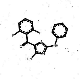 Nc1nc(Nc2ccccc2)sc1C(=O)c1c(F)cccc1F